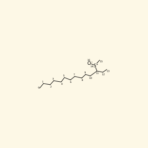 CCCCCCCCCCCC(CC)[S+](C)[O-]